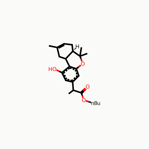 CCCCOC(=O)C(C)c1cc(O)c2c(c1)OC(C)(C)[C@@H]1CC=C(C)CC21